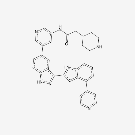 O=C(CC1CCNCC1)Nc1cncc(-c2ccc3[nH]nc(-c4cc5c(-c6ccncc6)cccc5[nH]4)c3c2)c1